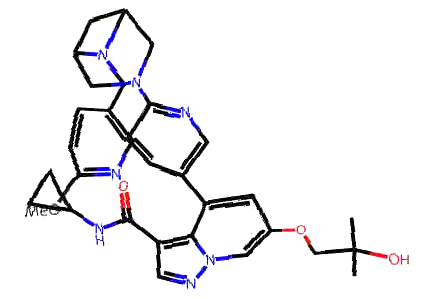 COc1ccc(CN2C3CC2CN(c2ccc(-c4cc(OCC(C)(C)O)cn5ncc(C(=O)NC6CC6)c45)cn2)C3)cn1